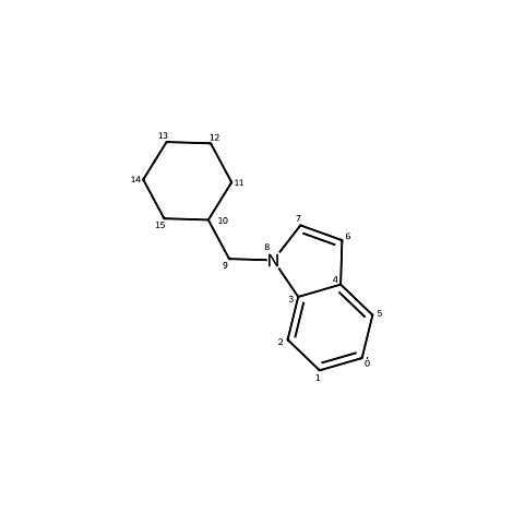 [c]1ccc2c(c1)ccn2CC1CCCCC1